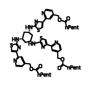 CCCCCC(=O)OCc1ccnc(-c2csc(N[C@H]3C[C@@H](Nc4nc(-c5cc(COC(=O)CCCCC)ccn5)cs4)C[C@@H](Nc4nc(-c5cc(COC(=O)CCCCC)ccn5)cs4)C3)n2)c1